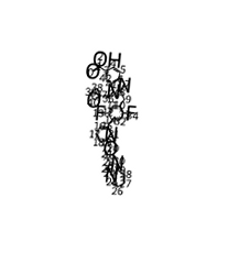 O=C(O)c1ccc2nc(Cc3cc(F)c(-c4cccc(OCc5cn6ccccc6n5)n4)cc3F)n(C[C@@H]3CCO3)c2c1